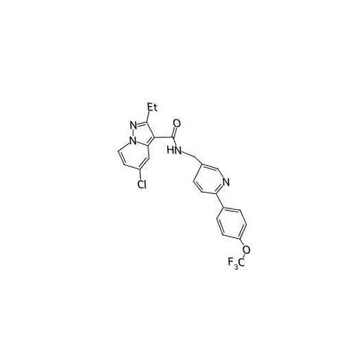 CCc1nn2ccc(Cl)cc2c1C(=O)NCc1ccc(-c2ccc(OC(F)(F)F)cc2)nc1